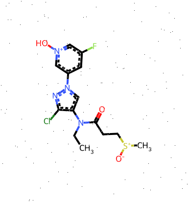 CCN(C(=O)CC[S+](C)[O-])c1cn(-c2cc(F)c[n+](O)c2)nc1Cl